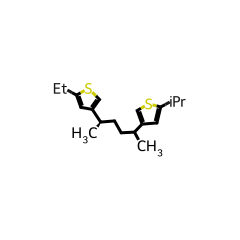 CCc1cc([C@H](C)CCC(C)c2csc(C(C)C)c2)cs1